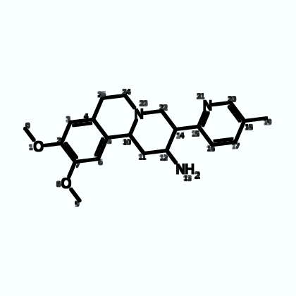 COc1cc2c(cc1OC)C1CC(N)C(c3ccc(C)cn3)CN1CC2